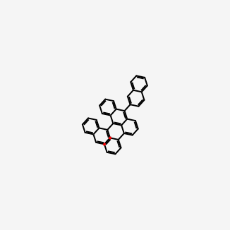 c1ccc(-c2cccc3c(-c4ccc5ccccc5c4)c4ccccc4c(-c4cccc5ccccc45)c23)cc1